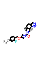 O=C(N1CC(OCc2ccc(C(F)(F)F)cc2F)C1)N1C[C@@H]2CCc3cn[nH]c3[C@@H]2C1